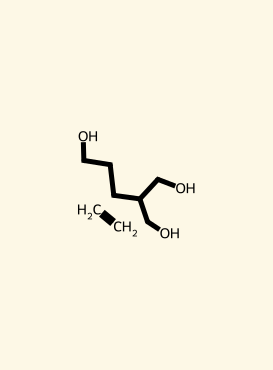 C=C.OCCCC(CO)CO